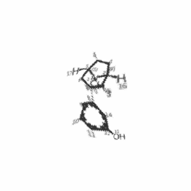 CN1[C@@H]2CC[C@H]1C[C@@H](c1cccc(O)c1)C2